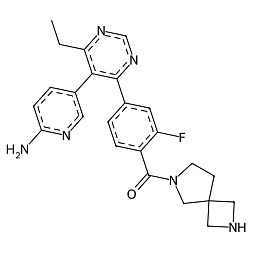 CCc1ncnc(-c2ccc(C(=O)N3CCC4(CNC4)C3)c(F)c2)c1-c1ccc(N)nc1